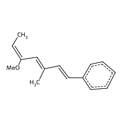 C\C=C(/C=C(C)/C=C/c1ccccc1)OC